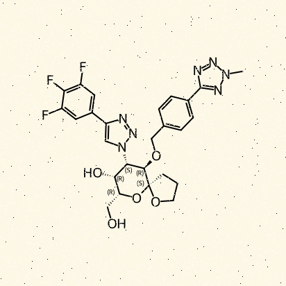 Cn1nnc(-c2ccc(CO[C@@H]3[C@@H](n4cc(-c5cc(F)c(F)c(F)c5)nn4)[C@@H](O)[C@@H](CO)O[C@@]34CCCO4)cc2)n1